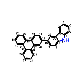 c1ccc2c(c1)[nH]c1ccc(-c3ccc4c5ccccc5c5ccccc5c4c3)cc12